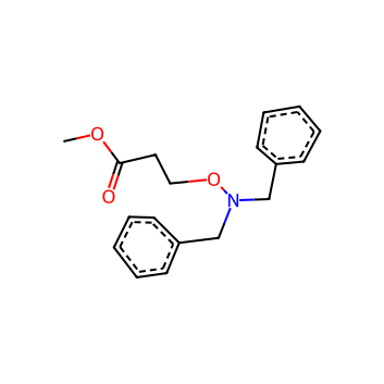 COC(=O)CCON(Cc1ccccc1)Cc1ccccc1